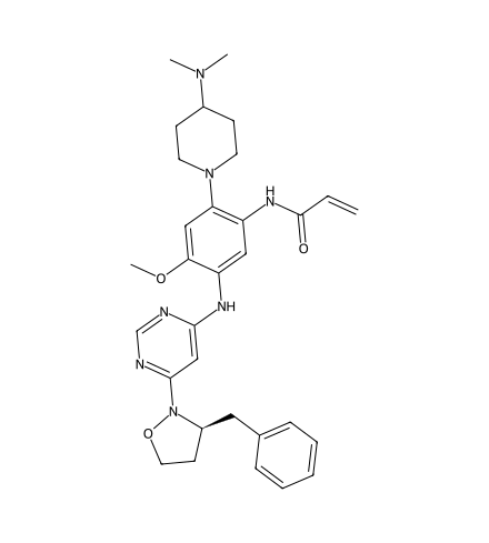 C=CC(=O)Nc1cc(Nc2cc(N3OCC[C@@H]3Cc3ccccc3)ncn2)c(OC)cc1N1CCC(N(C)C)CC1